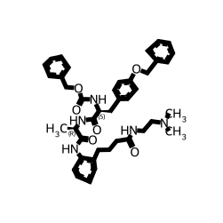 C[C@@H](NC(=O)[C@H](Cc1ccc(OCc2ccccc2)cc1)NC(=O)OCc1ccccc1)C(=O)Nc1ccccc1CCCC(=O)NCCN(C)C